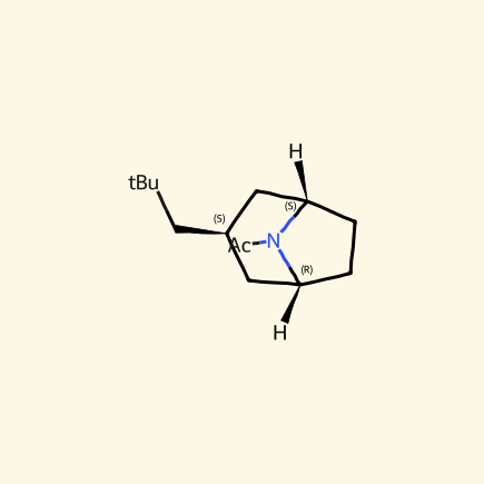 CC(=O)N1[C@@H]2CC[C@H]1C[C@H](CC(C)(C)C)C2